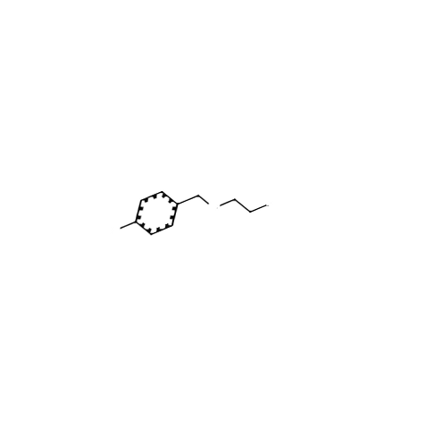 FCCOCc1ccc(C(F)(F)F)cc1